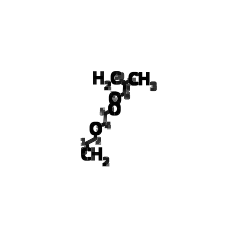 C=CCOCCOOCC(=C)C